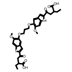 CCC(CC(=O)c1cc2cc(OCCCOc3cc4cc(C(=O)CC(CC)C(=O)O)[se]c4cc3OC)c(OC)cc2s1)C(=O)O